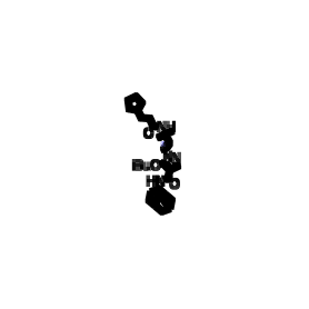 CC(C)COc1c(C(=O)NC2C3CC4CC(C3)CC2C4)cnn1/C=C/C(C)(C)NC(=O)CCC1CCCC1